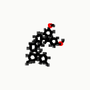 COc1ccc([Si](C)(c2ccc(OC)cc2)c2cccc3c2Cc2c-3cccc2[Si](C)(c2ccc(C)cc2)c2ccc(C)cc2)cc1